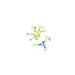 FN(F)F.FS(F)(F)(F)(F)F